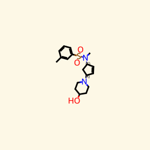 Cc1cccc(S(=O)(=O)N(C)[C@@H]2C=C[C@H](N3CCC(O)CC3)C2)c1